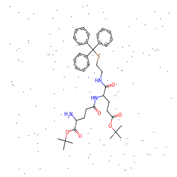 CC(C)(C)OC(=O)CCC(NC(=O)CCC(N)C(=O)OC(C)(C)C)C(=O)NCCSC(c1ccccc1)(c1ccccc1)c1ccccc1